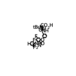 CC(C)(C)N(C(=O)O)S(=O)(=O)NCc1cccc(Oc2cc(F)c(F)c(Nc3ccc(I)cc3F)c2C(N)=O)c1